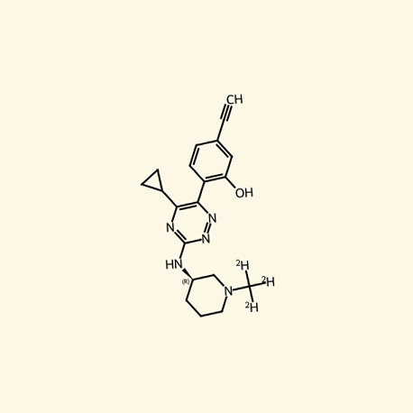 [2H]C([2H])([2H])N1CCC[C@@H](Nc2nnc(-c3ccc(C#C)cc3O)c(C3CC3)n2)C1